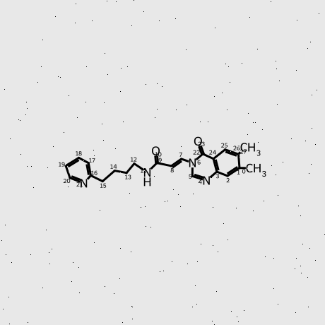 Cc1cc2ncn(C=CC(=O)NCCCCc3ccccn3)c(=O)c2cc1C